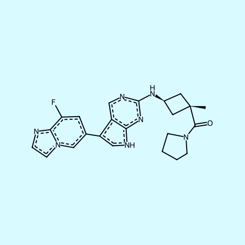 C[C@]1(C(=O)N2CCCC2)C[C@H](Nc2ncc3c(-c4cc(F)c5nccn5c4)c[nH]c3n2)C1